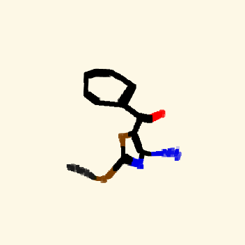 CCCCCCSc1nc(N)c(C(=O)c2ccccc2)s1